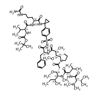 CC[C@H](C)[C@@H]([C@@H](CC(=O)N1CCC[C@H]1[C@H](OC)[C@@H](C)C(=O)N[C@@H](Cc1ccccc1)C(=O)NS(=O)(=O)c1ccc(C2(NC(=O)[C@H](CCCNC(N)=O)NC(=O)[C@@H](NC(=O)OC(C)(C)C)C(C)C)CC2)cc1)OC)N(C)C(=O)[C@@H](NC(=O)[C@H](C(C)C)N(C)C)C(C)C